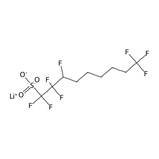 O=S(=O)([O-])C(F)(F)C(F)(F)C(F)CCCCCC(F)(F)F.[Li+]